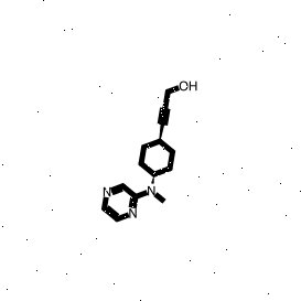 CN(c1cnccn1)[C@H]1CC[C@H](C#CCO)CC1